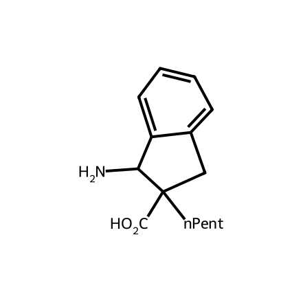 CCCCCC1(C(=O)O)Cc2ccccc2C1N